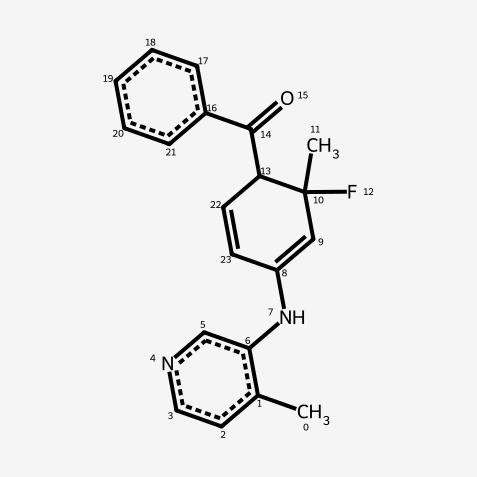 Cc1ccncc1NC1=CC(C)(F)C(C(=O)c2ccccc2)C=C1